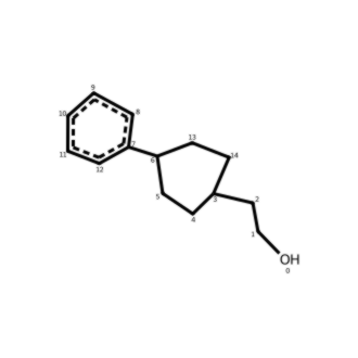 OCCC1CCC(c2ccccc2)CC1